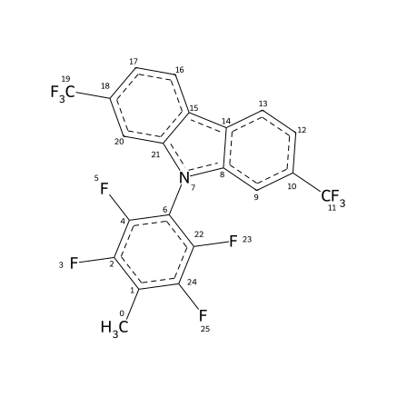 Cc1c(F)c(F)c(-n2c3cc(C(F)(F)F)ccc3c3ccc(C(F)(F)F)cc32)c(F)c1F